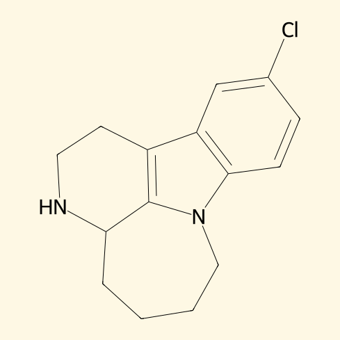 Clc1ccc2c(c1)c1c3n2CCCCC3NCC1